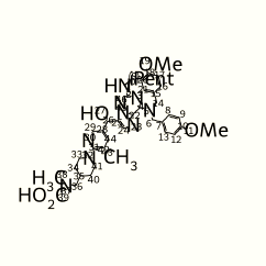 CCC[C@H](C)Nc1nc(N(Cc2ccc(OC)cc2)Cc2ccc(OC)cc2)c2ncc(C(O)c3cnc(N4CCC(CN(C)C(=O)O)CC4)c(C)c3)n2n1